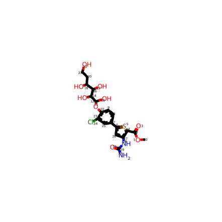 COC(=O)c1sc(-c2ccc(OC(O)C(O)C(O)C(O)CCO)c(Cl)c2)cc1NC(N)=O